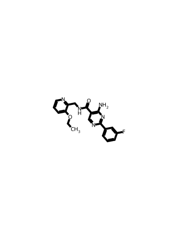 CCOc1cccnc1CNC(=O)c1cnc(-c2cccc(F)c2)nc1N